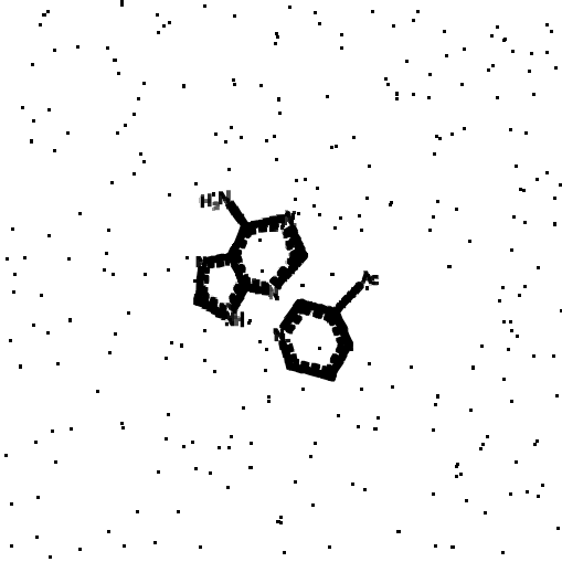 CC(=O)c1cccnc1.Nc1ncnc2[nH]cnc12